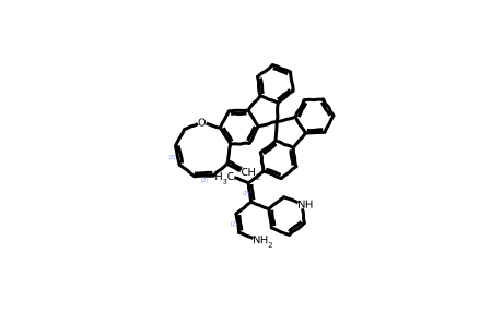 C=C1/C=C\C=C/COc2cc3c(cc21)C1(c2ccccc2-c2ccc(/C(C)=C(/C=C\N)C4=CC=CNC4)cc21)c1ccccc1-3